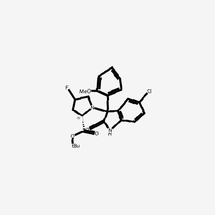 COc1ccccc1C1(N2CC(F)C[C@H]2C(=O)OC(C)(C)C)C(=O)Nc2ccc(Cl)cc21